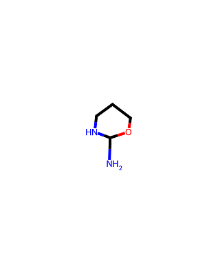 NC1NCCCO1